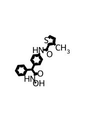 Cc1ccsc1C(=O)Nc1ccc(C(C(=O)NO)c2ccccc2)cc1